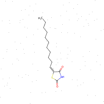 CCCCCCCCCC/C=C1/SC(=O)NC1=O